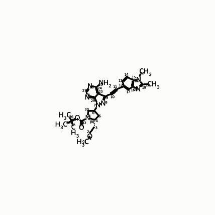 COCC[C@H]1CC(n2nc(C#Cc3ccc4c(c3)nc(C)n4C)c3c(N)ncnc32)CN1C(=O)OC(C)(C)C